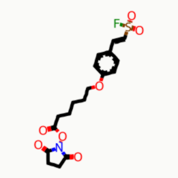 O=C(CCCCCOc1ccc(/C=C/S(=O)(=O)F)cc1)ON1C(=O)CCC1=O